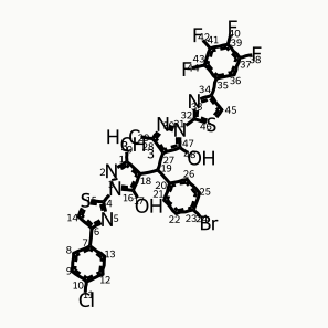 Cc1nn(-c2nc(-c3ccc(Cl)cc3)cs2)c(O)c1C(c1ccc(Br)cc1)c1c(C)nn(-c2nc(-c3cc(F)c(F)c(F)c3F)cs2)c1O